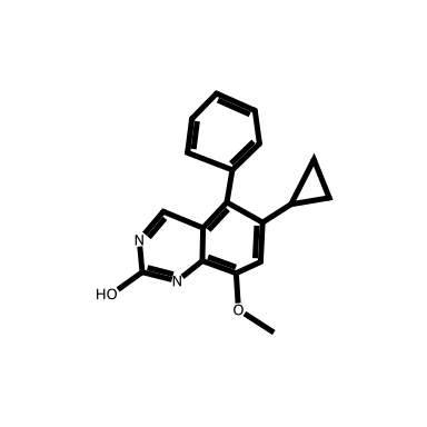 COc1cc(C2CC2)c(-c2ccccc2)c2cnc(O)nc12